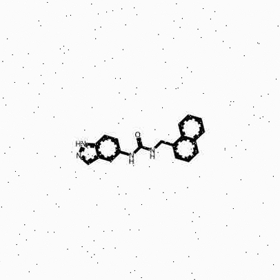 O=C(NCc1cccc2ccccc12)Nc1ccc2[nH]ncc2c1